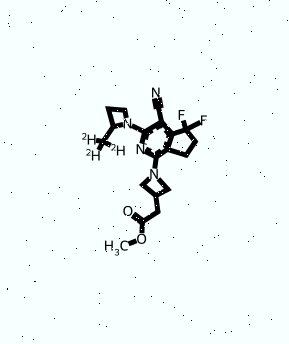 [2H]C([2H])([2H])C1CCN1c1nc(N2CC(CC(=O)OC)C2)c2c(c1C#N)C(F)(F)CC2